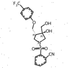 N#Cc1ccccc1S(=O)(=O)N1C[C@H](COc2ccc(C(F)(F)F)cc2)[C@](O)(CO)C1